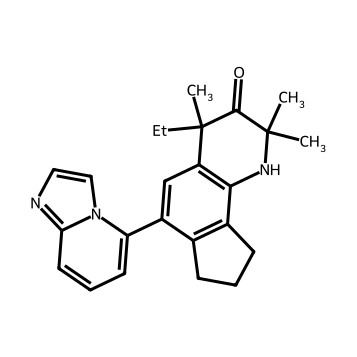 CCC1(C)C(=O)C(C)(C)Nc2c1cc(-c1cccc3nccn13)c1c2CCC1